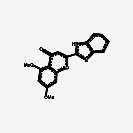 COc1cc(OC)c2c(=O)cc(-c3nc4ccccc4[nH]3)oc2c1